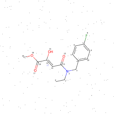 CCN(Cc1ccc(F)cc1)C(=O)/C=C(\O)C(=O)OC